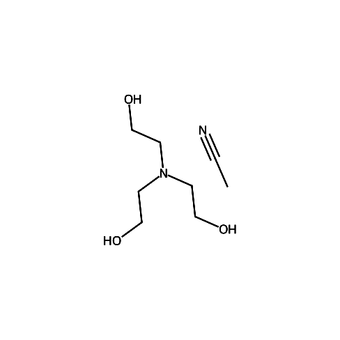 CC#N.OCCN(CCO)CCO